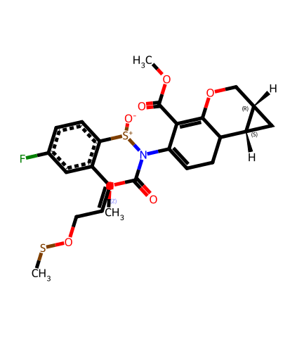 COC(=O)C1=C2OC[C@@H]3C[C@@H]3C2CC=C1N(C(=O)OC)[S+]([O-])c1ccc(F)cc1/C=C\COSC